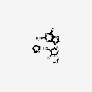 Nc1nc2c(ncn2[C@@H]2O[C@H](CO)[C@@H](O)[C@H]2O)c(=O)[nH]1.c1ccsc1